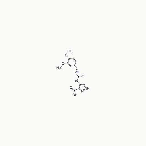 COc1ccc(/C=C/C(=O)Nc2c[nH]nc2C(=O)O)cc1OC